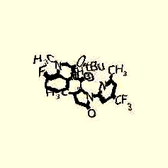 Cc1cc(C(F)(F)F)cc(N2C(=O)CC(C)[C@H]2C(=O)N(C)c2cccc(F)c2N(C)CC(=O)OC(C)(C)C)n1